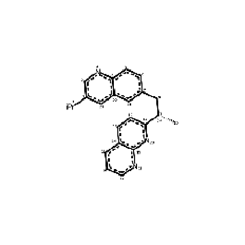 CC(C)c1cnc2ccc(C[C@H](C)c3ccc4cccnc4n3)cc2c1